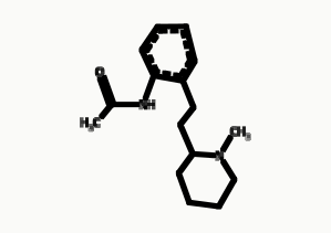 CC(=O)Nc1ccccc1CCC1CCCCN1C